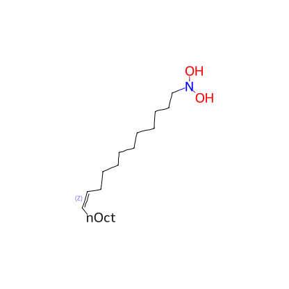 CCCCCCCC/C=C\CCCCCCCCCCN(O)O